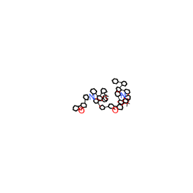 CC1(C)c2ccccc2-c2c(-c3ccccc3N(c3cccc(-c4ccc5oc6ccccc6c5c4)c3)c3ccc(-c4cccc(-c5ccc6c(c5)oc5ccc(-c7cccc(N(c8ccccc8-c8ccccc8-c8ccccc8-c8ccccc8)c8ccccc8-c8cccc9c8-c8ccccc8C9(C)C)c7)cc56)c4)c(-c4ccccc4)c3)cccc21